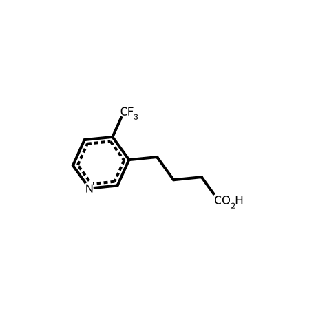 O=C(O)CCCc1cnccc1C(F)(F)F